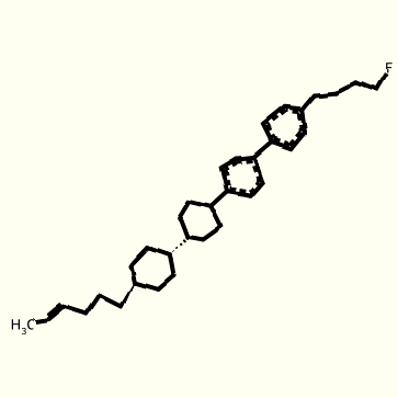 C/C=C/CCC[C@H]1CC[C@H](C2CCC(c3ccc(-c4ccc(CCCCF)cc4)cc3)CC2)CC1